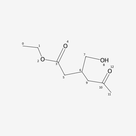 CCOC(=O)CC(CO)CC(C)=O